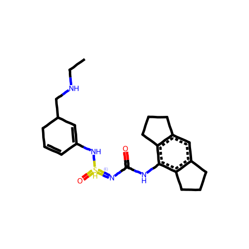 CCNCC1C=C(N/[SH](=O)=N\C(=O)Nc2c3c(cc4c2CCC4)CCC3)C=CC1